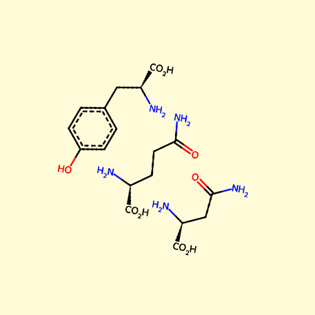 NC(=O)CC[C@H](N)C(=O)O.NC(=O)C[C@H](N)C(=O)O.N[C@@H](Cc1ccc(O)cc1)C(=O)O